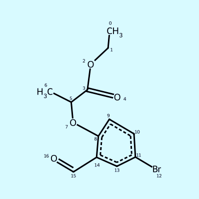 CCOC(=O)C(C)Oc1ccc(Br)cc1C=O